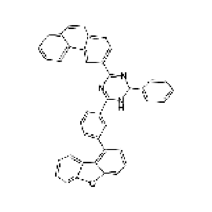 c1ccc(C2N=C(c3ccc4ccc5ccccc5c4c3)N=C(c3cccc(-c4cccc5oc6ccccc6c45)c3)N2)cc1